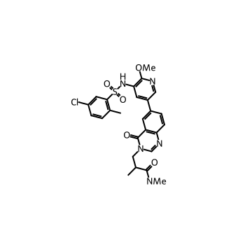 CNC(=O)C(C)Cn1cnc2ccc(-c3cnc(OC)c(NS(=O)(=O)c4cc(Cl)ccc4C)c3)cc2c1=O